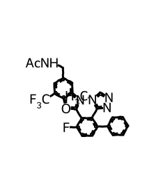 CC(=O)NCc1cc(C(F)(F)F)c2oc(-c3c(F)ccc(-c4ccccc4)c3-c3nncn3C)nc2c1